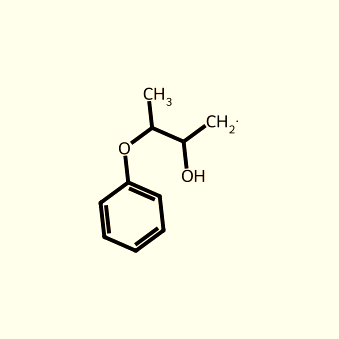 [CH2]C(O)C(C)Oc1ccccc1